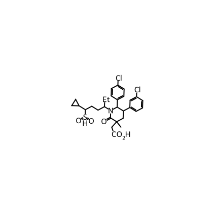 CCC(CCC(C1CC1)[SH](=O)=O)N1C(=O)C(C)(CC(=O)O)CC(c2cccc(Cl)c2)C1c1ccc(Cl)cc1